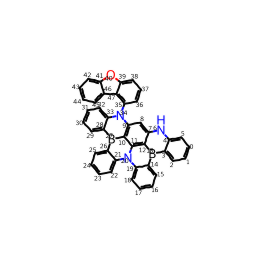 c1ccc2c(c1)Nc1cc3c4c5c1B2c1ccccc1N5c1ccccc1B4c1ccccc1N3c1cccc2oc3ccccc3c12